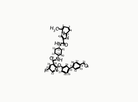 Cc1cccc2nc(C(=O)N[C@H]3CC[C@H](NC(=O)c4cc(F)cnc4Oc4cccc(-c5ccc(C=O)cc5)c4)CC3)cn12